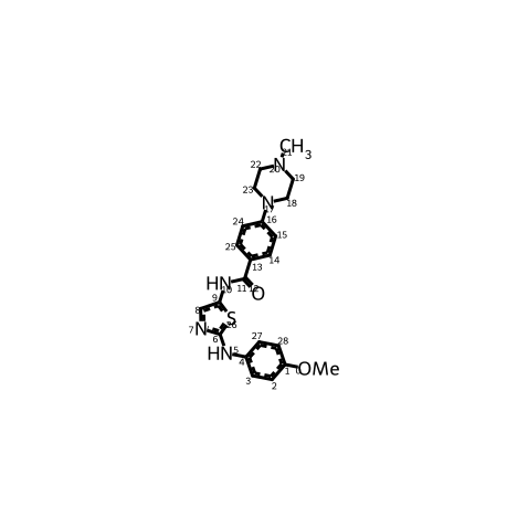 COc1ccc(Nc2ncc(NC(=O)c3ccc(N4CCN(C)CC4)cc3)s2)cc1